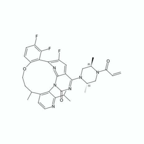 C=CC(=O)N1C[C@H](C)N(c2nc(=O)n3c4nc(c(F)cc24)-c2c(ccc(F)c2F)OCCC(C)c2ccnc(C(C)C)c2-3)C[C@H]1C